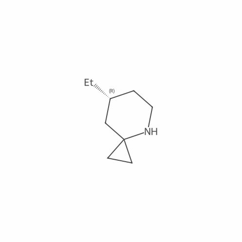 CC[C@@H]1CCNC2(CC2)C1